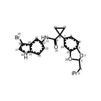 CC(C)CC1Oc2ccc(C3(C(=O)Nc4ccc5[nH]cc(Br)c5c4)CC3)cc2O1